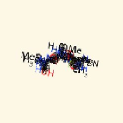 COC[C@H](C)Nc1ncc2c(-c3cnn(C(O[C@H]4CC[C@H](c5cc(-c6ccnc(N7C(=O)OCC7O[C@H]7CC[C@H](c8cc(-c9cnn(CCC#N)c9)c9cnc(N[C@@H](C)COC(F)F)nn98)CC7)c6)c6cnc(N[C@@H](C)COC)nn65)CC4)C4CCO4)c3)cc([C@H]3CC[C@H](O)CC3)n2n1